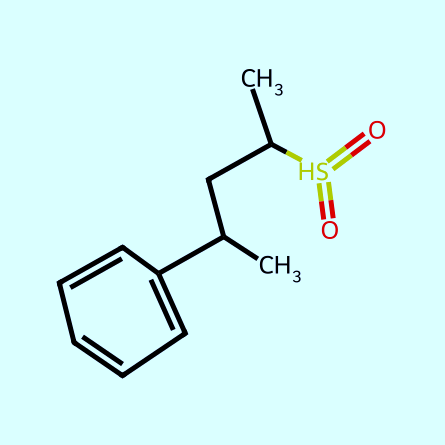 CC(CC(C)[SH](=O)=O)c1ccccc1